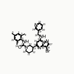 Cc1cc(C)c(NC(=O)N2CCCC(c3cc(NCc4cccnc4)n4ncc(Br)c4n3)C2)c(C)c1